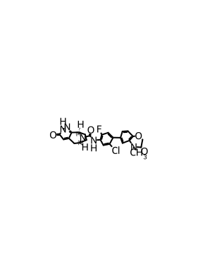 CN1C(=O)COc2ccc(-c3cc(F)c(NC(=O)N4[C@H]5CC[C@@H]4c4n[nH]c(=O)cc4C5)cc3Cl)cc21